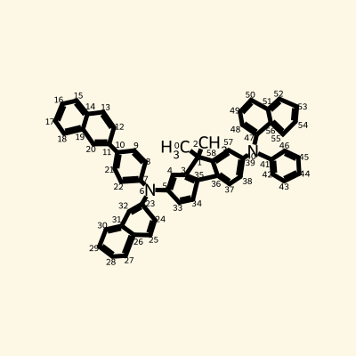 CC1(C)c2cc(N(c3ccc(-c4ccc5ccccc5c4)cc3)c3ccc4ccccc4c3)ccc2-c2ccc(N(c3ccccc3)c3cccc4ccccc34)cc21